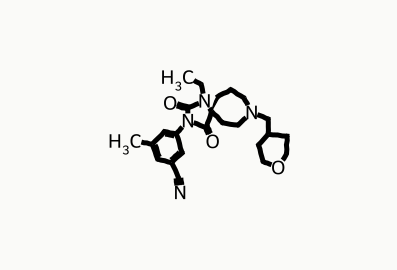 CCN1C(=O)N(c2cc(C)cc(C#N)c2)C(=O)[C@]12CCCN(CC1CCOCC1)CC2